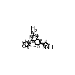 Nc1nc(N2CC3CC2CO3)c2ccc(-c3cc[nH]n3)cc2n1